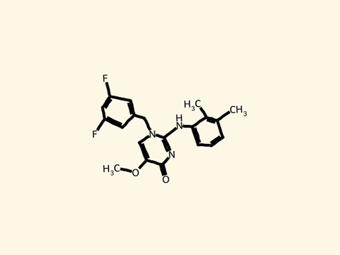 COc1cn(Cc2cc(F)cc(F)c2)c(Nc2cccc(C)c2C)nc1=O